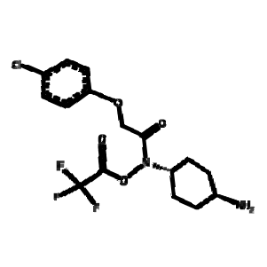 N[C@H]1CC[C@H](N(OC(=O)C(F)(F)F)C(=O)COc2ccc(Cl)cc2)CC1